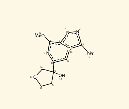 CCCc1nnc2c(OC)nc(C3(O)CCOC3)cn12